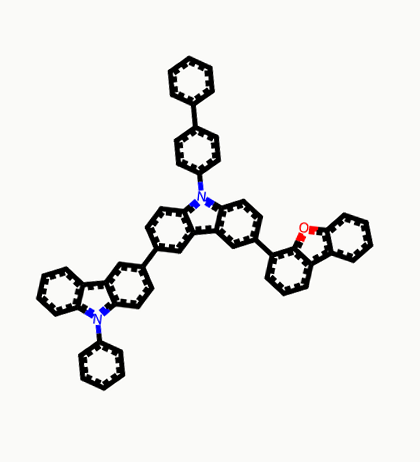 c1ccc(-c2ccc(-n3c4ccc(-c5ccc6c(c5)c5ccccc5n6-c5ccccc5)cc4c4cc(-c5cccc6c5oc5ccccc56)ccc43)cc2)cc1